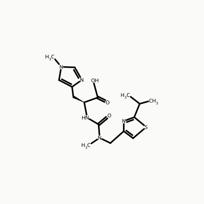 CC(C)c1nc(CN(C)C(=O)N[C@@H](Cc2cn(C)cn2)C(=O)O)cs1